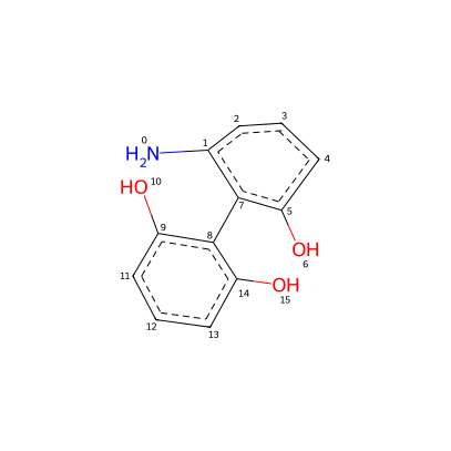 Nc1cccc(O)c1-c1c(O)cccc1O